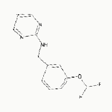 FC(F)Oc1cccc(CNc2nc[c]cn2)c1